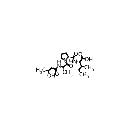 CC[C@H](C)[C@H](NC(=O)[C@@H]1CCCN1C(=O)[C@H](C)NC(=O)CC(C)O)C(=O)O